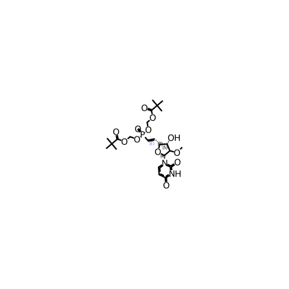 COC1[C@@H](O)[C@@H](/C=C/P(=O)(OCOC(=O)C(C)(C)C)OCOC(=O)C(C)(C)C)O[C@H]1n1ccc(=O)[nH]c1=O